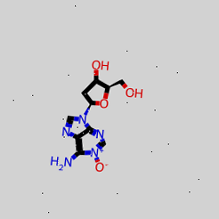 Nc1c2ncn([C@H]3CC(O)[C@@H](CO)O3)c2nc[n+]1[O-]